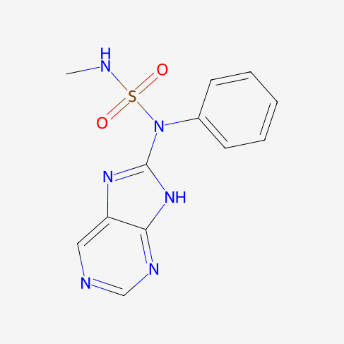 CNS(=O)(=O)N(c1ccccc1)c1nc2cncnc2[nH]1